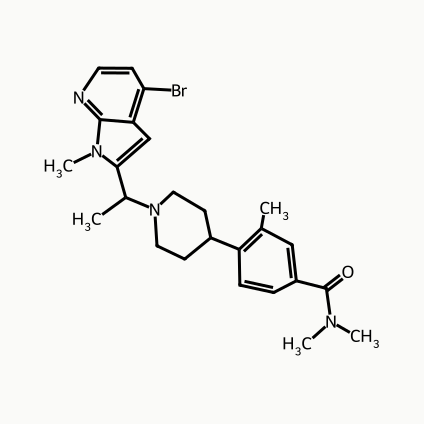 Cc1cc(C(=O)N(C)C)ccc1C1CCN(C(C)c2cc3c(Br)ccnc3n2C)CC1